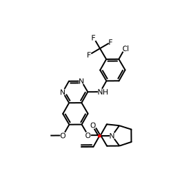 C=CC(=O)N1C2CCC1CC(Oc1cc3c(Nc4ccc(Cl)c(C(F)(F)F)c4)ncnc3cc1OC)C2